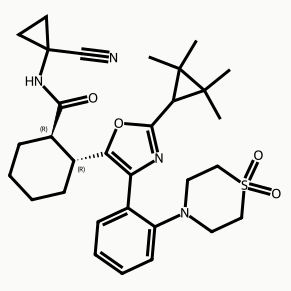 CC1(C)C(c2nc(-c3ccccc3N3CCS(=O)(=O)CC3)c([C@@H]3CCCC[C@H]3C(=O)NC3(C#N)CC3)o2)C1(C)C